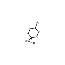 CCC1CCC2(CC1)NN2